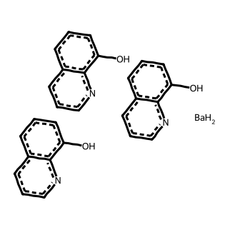 Oc1cccc2cccnc12.Oc1cccc2cccnc12.Oc1cccc2cccnc12.[BaH2]